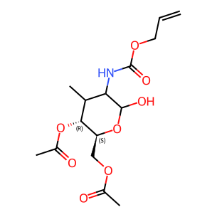 C=CCOC(=O)NC1C(O)O[C@@H](COC(C)=O)[C@H](OC(C)=O)C1C